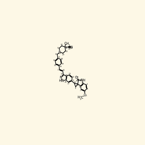 COc1ccc2c(c1)C1(CC1c1ccc3c(/C=C/c4ccc(CN5CCC(C)(C#N)CC5)cc4)n[nH]c3c1)C(=O)N2